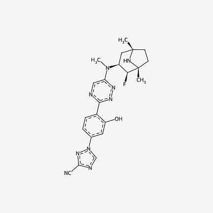 CN(c1cnc(-c2ccc(-n3cnc(C#N)n3)cc2O)nn1)[C@H]1C[C@]2(C)CC[C@@](C)(N2)[C@H]1F